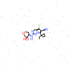 CCC1(c2c(C#N)c(F)c3cnc(N[C@@H]4CCOC[C@H]4O)nn23)CCC1